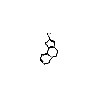 Brc1cc2c(s1)C1=CC=NCN1CC2